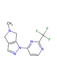 CN1Cc2cnn(-c3ccnc(C(F)(F)F)n3)c2C1